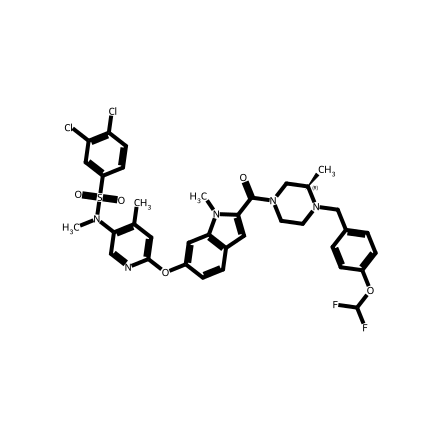 Cc1cc(Oc2ccc3cc(C(=O)N4CCN(Cc5ccc(OC(F)F)cc5)[C@H](C)C4)n(C)c3c2)ncc1N(C)S(=O)(=O)c1ccc(Cl)c(Cl)c1